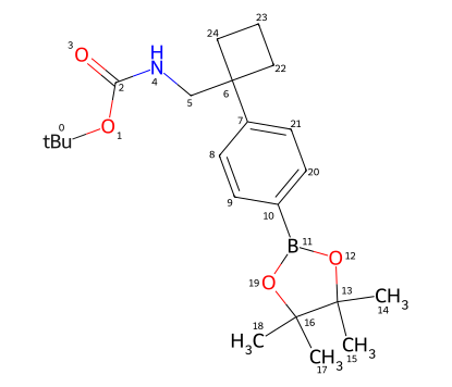 CC(C)(C)OC(=O)NCC1(c2ccc(B3OC(C)(C)C(C)(C)O3)cc2)CCC1